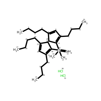 CCCCC1=CC(CCCC)=[C]([Ti]([CH3])([CH3])(=[SiH2])[C]2=C(CCCC)C=C(CCCC)C2)C1.Cl.Cl